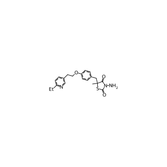 CCc1ccc(CCOc2ccc(CC3(C)SC(=O)N(N)C3=O)cc2)cn1